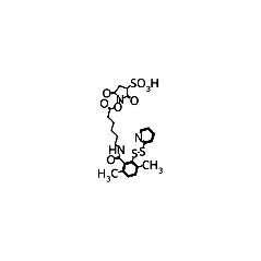 Cc1ccc(C)c(C(=O)NCCCCCC(=O)ON2C(=O)CC(S(=O)(=O)O)C2=O)c1SSc1ccccn1